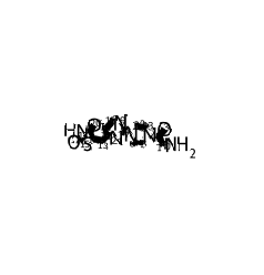 NCC(=O)N1CCN(c2nccc(C=C3SC(=O)NC3=O)n2)CC1